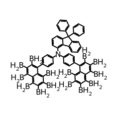 Bc1c(B)c(B)c2c(-c3ccc(N(c4ccc(-c5c(B)c(B)c(B)c6c(B)c(B)c(B)c(B)c56)cc4)c4cccc5c4-c4ccccc4C5(c4ccccc4)c4ccccc4)cc3)c(B)c(B)c(B)c2c1B